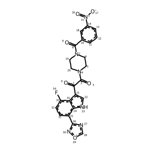 O=C(C(=O)N1CCN(C(=O)c2cccc([N+](=O)[O-])c2)CC1)c1c[nH]c2c(-c3ncon3)ccc(F)c12